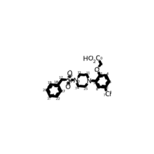 O=C(O)COc1ccc(Cl)cc1N1CCN(S(=O)(=O)Cc2ccccc2)CC1